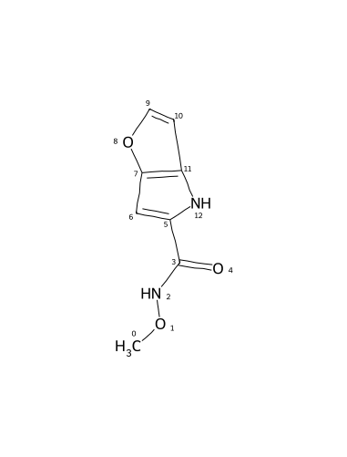 CONC(=O)c1cc2occc2[nH]1